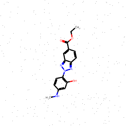 CCOC(=O)c1ccc2nn(-c3ccc(NC)cc3O)nc2c1